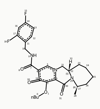 CCCCOc1c2n(cc(C(=O)NCc3ccc(F)cc3F)c1=O)C[C@@H]1CCCC[C@@H](C)N1C2=O